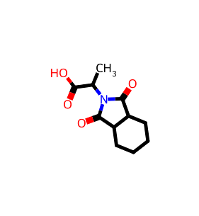 CC(C(=O)O)N1C(=O)C2CCCCC2C1=O